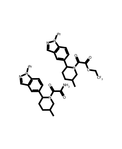 CC1CCC(c2ccc3c(cnn3C(C)C)c2)N(C(=O)C(=O)OCC(F)(F)F)C1.CC1CCC(c2ccc3c(cnn3C(C)C)c2)N(C(=O)C(N)=O)C1